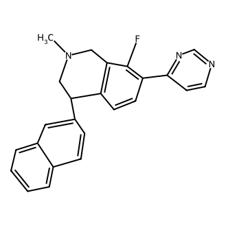 CN1Cc2c(ccc(-c3ccncn3)c2F)C(c2ccc3ccccc3c2)C1